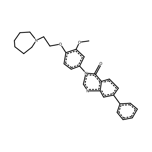 COc1cc(-n2cnc3cc(-c4ccccc4)ccc3c2=O)ccc1OCCN1CCCCCC1